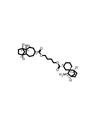 N[C@@H]1[C@@H]2CC[C@@H](C2)[C@]12CCC[C@@H](C(=O)OCCCCOC(=O)[C@H]1CCC3[C@@H]4CC[C@@H](C4)[C@]3(N)CC1)C2